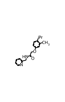 Cc1cc(OCC(=O)NCc2ccccn2)ccc1C(C)C